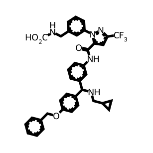 O=C(O)NCc1cccc(-n2nc(C(F)(F)F)cc2C(=O)Nc2cccc(C(NCC3CC3)c3ccc(OCc4ccccc4)cc3)c2)c1